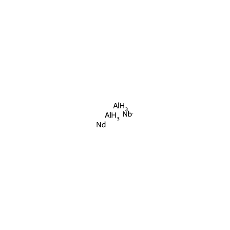 [AlH3].[AlH3].[Nb].[Nd]